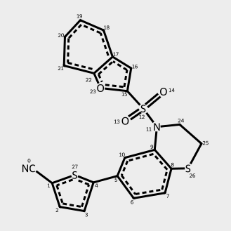 N#Cc1ccc(-c2ccc3c(c2)N(S(=O)(=O)c2cc4ccccc4o2)CCS3)s1